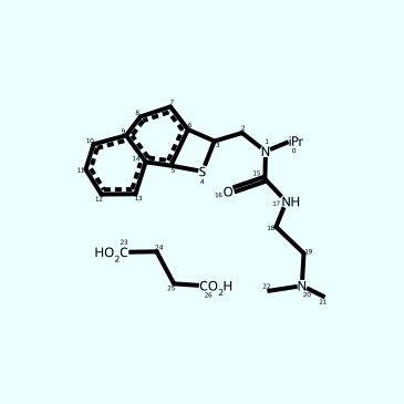 CC(C)N(CC1Sc2c1ccc1ccccc21)C(=O)NCCN(C)C.O=C(O)CCC(=O)O